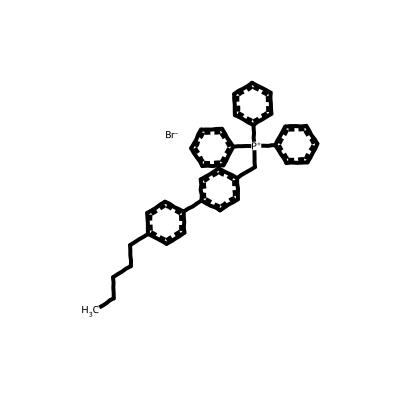 CCCCCc1ccc(-c2ccc(C[P+](c3ccccc3)(c3ccccc3)c3ccccc3)cc2)cc1.[Br-]